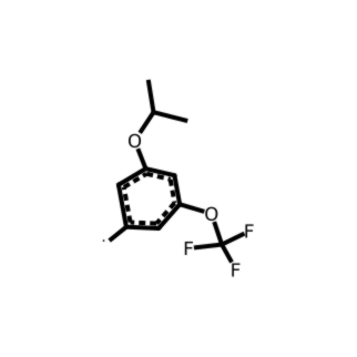 [CH2]c1cc(OC(C)C)cc(OC(F)(F)F)c1